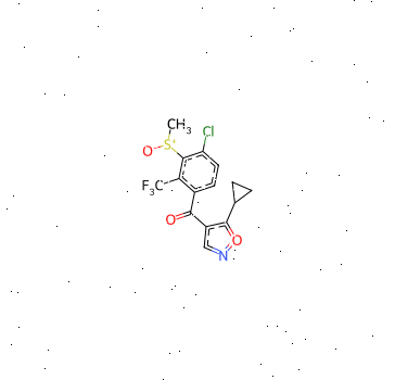 C[S+]([O-])c1c(Cl)ccc(C(=O)c2cnoc2C2CC2)c1C(F)(F)F